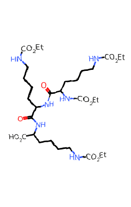 CCOC(=O)NCCCCC(NC(=O)C(CCCCNC(=O)OCC)NC(=O)C(CCCCNC(=O)OCC)NC(=O)OCC)C(=O)O